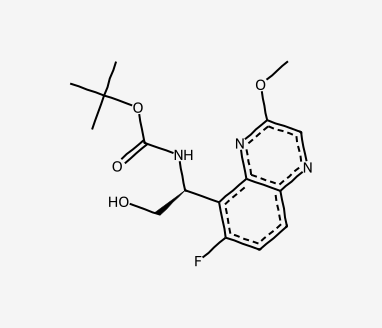 COc1cnc2ccc(F)c([C@@H](CO)NC(=O)OC(C)(C)C)c2n1